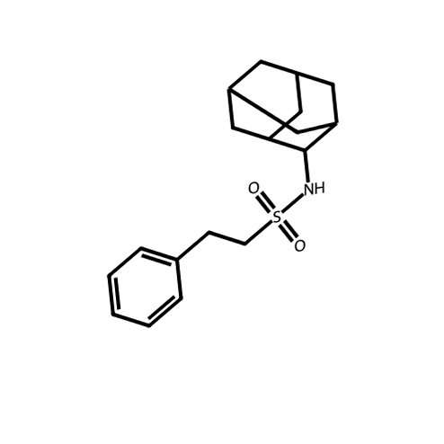 O=S(=O)(CCc1ccccc1)NC1C2CC3CC(C2)CC1C3